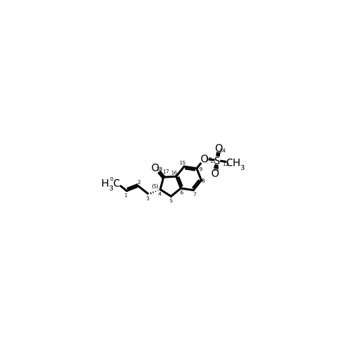 CC=CC[C@H]1Cc2ccc(OS(C)(=O)=O)cc2C1=O